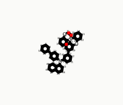 c1ccc(-c2ccc(N(c3cccc(-c4ccc5c(c4)Oc4ccccc4[Si]54c5ccccc5Oc5ccccc54)c3)c3cccc4ccccc34)cc2)cc1